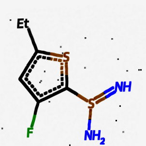 CCc1cc(F)c(S(=N)N)s1